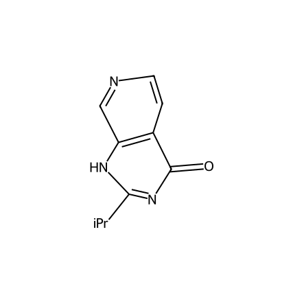 CC(C)c1nc(=O)c2ccncc2[nH]1